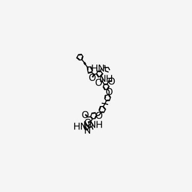 CCC(C)(CC)Nc1cc(NC(=O)c2ccc(Oc3ccc(C(C)(C)c4ccc(Oc5ccc(C=O)c(C(=O)NC(C)c6nc[nH]n6)c5)cc4)cc3)cc2C=O)cc(C(=O)c2ccc(C#Cc3ccccc3)cc2)c1